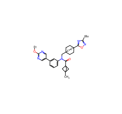 CCOc1ncc(-c2cccc(N(CC34CCC(c5nc(C(C)(C)C)no5)(CC3)CC4)C(=O)C34CC(C)(C3)C4)c2)cn1